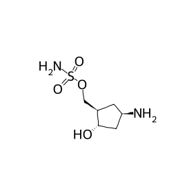 N[C@@H]1C[C@H](COS(N)(=O)=O)[C@@H](O)C1